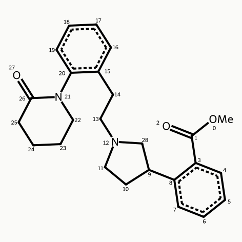 COC(=O)c1ccccc1C1CCN(CCc2ccccc2N2CCCCC2=O)C1